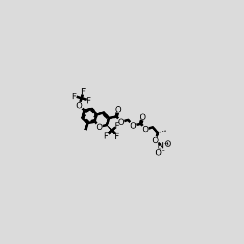 Cc1cc(OC(F)(F)F)cc2c1O[C@H](C(F)(F)F)C(C(=O)OCOC(=O)OC[C@H](C)O[N+](=O)[O-])=C2